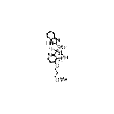 [2H]C([2H])([2H])c1c(OCCCOC)ccnc1C([2H])([2H])[S+]([O-])c1nc2ccccc2[nH]1